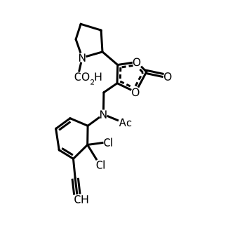 C#CC1=CC=CC(N(Cc2oc(=O)oc2C2CCCN2C(=O)O)C(C)=O)C1(Cl)Cl